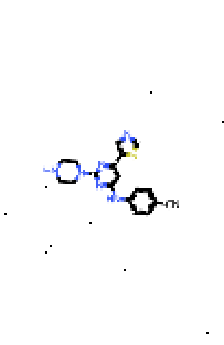 N#Cc1ccc(Nc2cc(-c3cncs3)nc(N3CCNCC3)n2)cc1